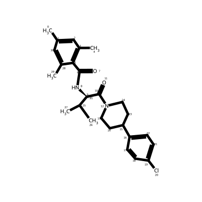 Cc1cc(C)c(C(=O)N[C@@H](C(=O)N2CCC(c3ccc(Cl)cc3)CC2)C(C)C)c(C)c1